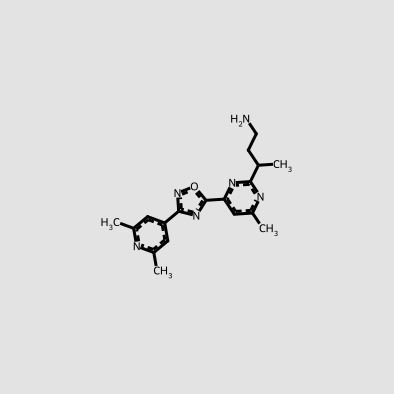 Cc1cc(-c2noc(-c3cc(C)nc(C(C)CCN)n3)n2)cc(C)n1